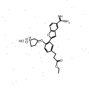 CCOC(=O)CCc1ccc(O[C@H]2CCNC2)c(-c2cc3cc(C(=N)N)ccc3o2)c1.Cl.Cl